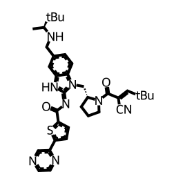 C[C@H](NCc1ccc2c(c1)[nH]/c(=N\C(=O)c1ccc(-c3cnccn3)s1)n2C[C@H]1CCCN1C(=O)/C(C#N)=C/C(C)(C)C)C(C)(C)C